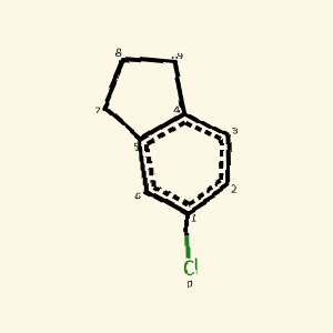 Clc1ccc2c(c1)CC[C]2